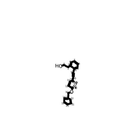 OCCc1ccccc1C#Cc1ccc(OCc2ccccc2)nn1